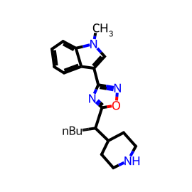 CCCCC(c1nc(-c2cn(C)c3ccccc23)no1)C1CCNCC1